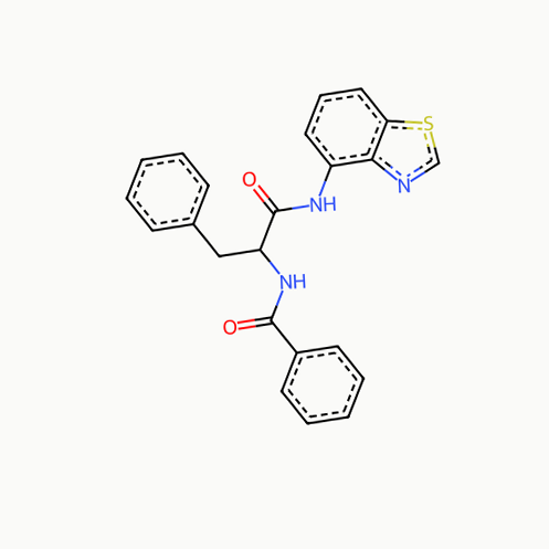 O=C(NC(Cc1ccccc1)C(=O)Nc1cccc2scnc12)c1ccccc1